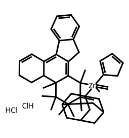 Cl.Cl.[CH2]=[Zr]([CH3])([C]1=CC=CC1)([C]12CC3CC(CC(C3)C1)C2)[C]1(C)C2=C3Cc4ccccc4C3=C3C=CCCC3C2(C)C(C)(C)C(C)(C)C1(C)C